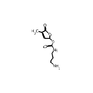 CC1=CC(OC(=O)NCCCN)OC1=O